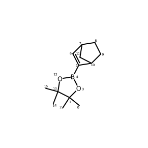 CC1(C)OB(C2=CC3CCC2C3)OC1(C)C